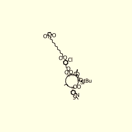 C=CC[C@H]1C(=O)C(C)(C)[C@@H](O[Si](C)(C)C(C)(C)C)CC(=O)O[C@H](c2ccc3sc(C)nc3c2)CC=C(C)CCC[C@H](C)[C@@H]1OC(=O)OCc1ccc(OC(=O)CCCCCCCCCCN2C(=O)C=CC2=O)c(Cl)c1